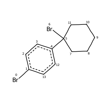 Brc1ccc(C2(Br)CCCCC2)cc1